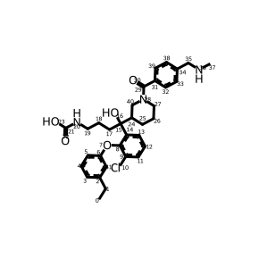 CCc1cccc(Oc2c(Cl)cccc2C(O)(CCCNC(=O)O)C2CCCN(C(=O)c3ccc(CNC)cc3)C2)c1